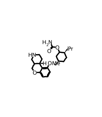 CC(C)[C@H]1CC[C@@H](C)CC1OC(N)=O.COc1cccc2c1[C@H]1CCNCC1CO2